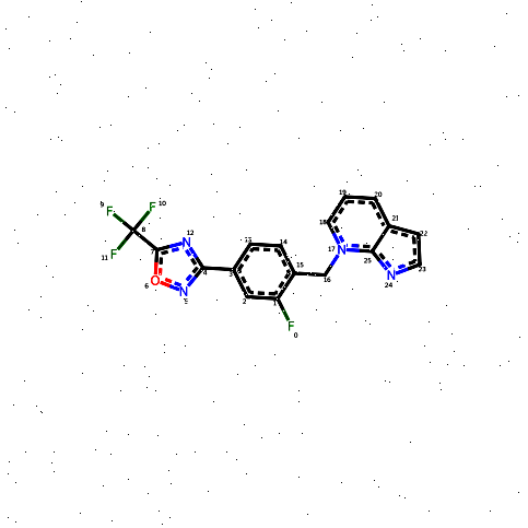 Fc1cc(-c2noc(C(F)(F)F)n2)ccc1Cn1cccc2ccnc1-2